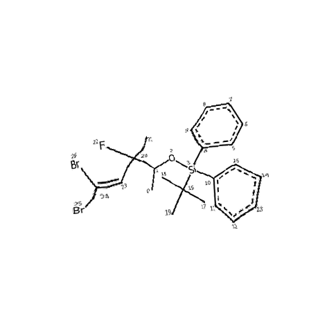 CC(O[Si](c1ccccc1)(c1ccccc1)C(C)(C)C)C(C)(F)C=C(Br)Br